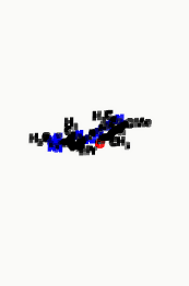 CCCc1cc(-c2nnn(C)n2)c(C)nc1NCN(CCC)C(=O)[C@@H](C)c1cc(OC)nc(C)n1